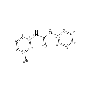 O=C(Nc1cccc(Br)c1)Oc1ccccc1